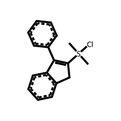 CS(C)(Cl)C1=C(c2ccccc2)c2ccccc2C1